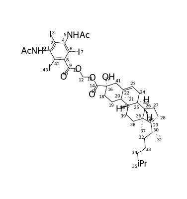 CC(=O)Nc1c(I)c(NC(C)=O)c(I)c(C(=O)OCOC(=O)[C@]2(O)CC[C@@]3(C)C(=CC[C@H]4[C@@H]5CC[C@H]([C@H](C)CCCC(C)C)[C@@]5(C)CC[C@@H]43)C2)c1I